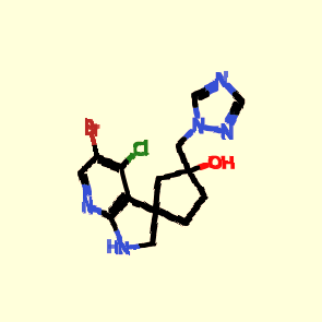 OC1(Cn2cncn2)CCC2(CNc3ncc(Br)c(Cl)c32)C1